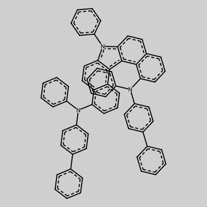 c1ccc(-c2ccc(N(c3ccccc3)c3cccc4c3ccc3c4c4c5c(N(c6ccccc6)c6ccc(-c7ccccc7)cc6)cccc5ccc4n3-c3ccccc3)cc2)cc1